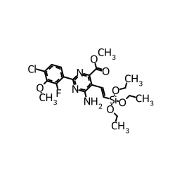 CCO[Si](C=Cc1c(N)nc(-c2ccc(Cl)c(OC)c2F)nc1C(=O)OC)(OCC)OCC